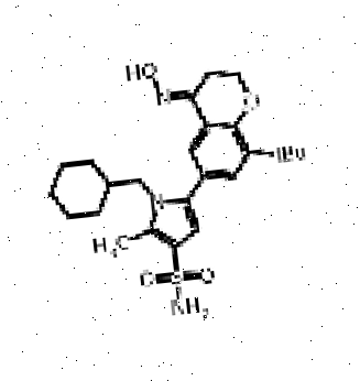 Cc1c(S(N)(=O)=O)cc(-c2cc3c(c(C(C)(C)C)c2)OCCC3=NO)n1CC1CCCCC1